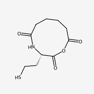 O=C1CCCCC(=O)OC(=O)[C@H](CCS)N1